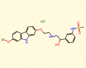 CCOc1ccc2c(c1)[nH]c1cc(OCCNCC(O)c3cccc(NS(C)(=O)=O)c3)ccc12.Cl